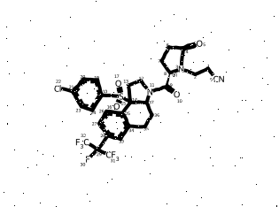 N#CCCN1C(=O)CC[C@@H]1C(=O)N1CCC2(S(=O)(=O)c3ccc(Cl)cc3)c3ccc(C(F)(C(F)(F)F)C(F)(F)F)cc3CCC12